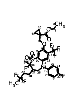 CCOC(=O)C1(COc2cc3c(cc2C(F)(F)F)N(c2ccc(F)cc2)CC(CCC(C)(F)F)C(F)(F)S3(=O)=O)CC1